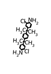 CC(C)(c1ccc(C(C)(C)c2ccc(N)c(Cl)c2)cc1)c1ccc(N)c(Cl)c1